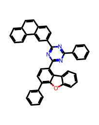 c1ccc(-c2nc(-c3ccc4ccc5ccccc5c4c3)nc(-c3ccc(-c4ccccc4)c4oc5ccccc5c34)n2)cc1